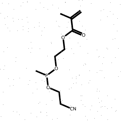 C=C(C)C(=O)OCCOP(C)OCCC#N